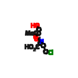 COC(=O)[C@@H](CC(=O)c1cc(C(=O)O)c2cc(-c3cccc(Cl)c3)ccc2n1)Cc1ccc(O)cc1